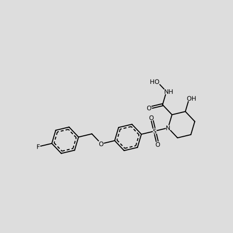 O=C(NO)C1C(O)CCCN1S(=O)(=O)c1ccc(OCc2ccc(F)cc2)cc1